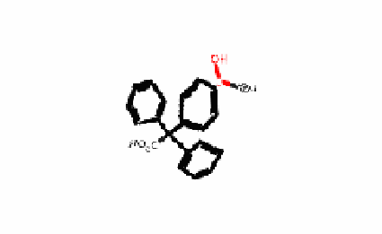 CC(C)(C)OO.O=C(O)C(c1ccccc1)(c1ccccc1)c1ccccc1